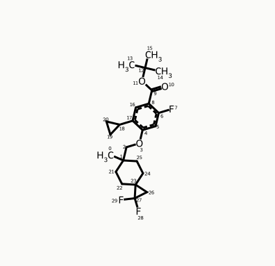 CC1(COc2cc(F)c(C(=O)OC(C)(C)C)cc2C2CC2)CCC2(CC1)CC2(F)F